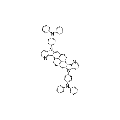 c1ccc(N(c2ccccc2)c2ccc(-n3c4cccnc4c4c5ccc6cc7c(c8ccc(cc43)c5c68)c3ncccc3n7-c3ccc(N(c4ccccc4)c4ccccc4)cc3)cc2)cc1